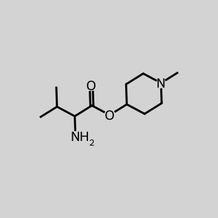 CC(C)C(N)C(=O)OC1CCN(C)CC1